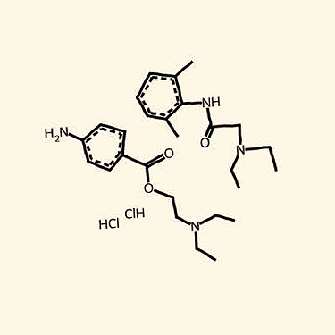 CCN(CC)CC(=O)Nc1c(C)cccc1C.CCN(CC)CCOC(=O)c1ccc(N)cc1.Cl.Cl